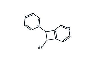 CC(C)C1c2ccncc2C1c1ccccc1